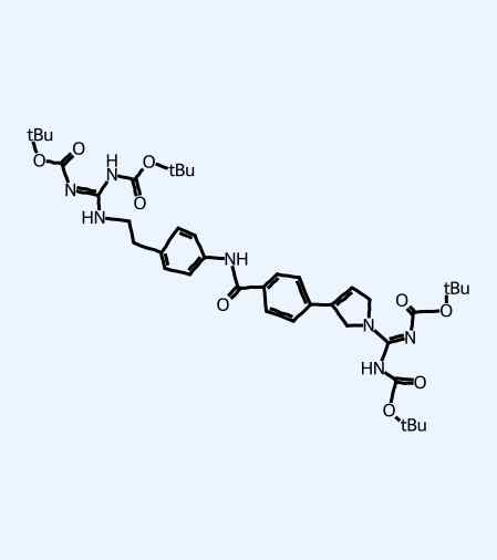 CC(C)(C)OC(=O)/N=C(/NCCc1ccc(NC(=O)c2ccc(C3=CCN(/C(=N\C(=O)OC(C)(C)C)NC(=O)OC(C)(C)C)C3)cc2)cc1)NC(=O)OC(C)(C)C